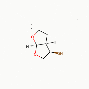 S[C@H]1CO[C@H]2OCC[C@H]21